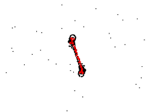 S=C(SSCCCCCCCCCCCCCCCCCCSSC(=S)N1CCOCC1)N1CCOCC1